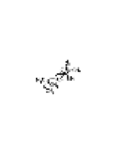 CO[Si](C)(C)CCC[N+](C)(C)C(=N)N(C)C